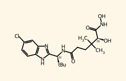 CC(C)(C)[C@H](NC(=O)CCC(C)(C)[C@H](O)C(=O)NO)c1nc2cc(Cl)ccc2[nH]1